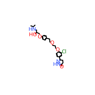 CC(C)NCC(O)COc1ccc(CCOCCCOc2ccc(C3=NNC(=O)CC3)cc2Cl)cc1